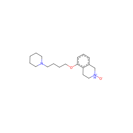 [O-][NH+]1CCc2c(cccc2OCCCCN2CCCCC2)C1